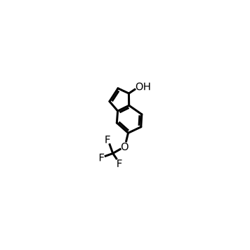 OC1C=Cc2cc(OC(F)(F)F)ccc21